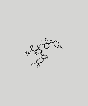 C[C@@H](Oc1cc(-n2cnc3cc(Cl)c(F)cc32)sc1C(N)=O)c1cccc(OC2CCN(C)CC2)c1Cl